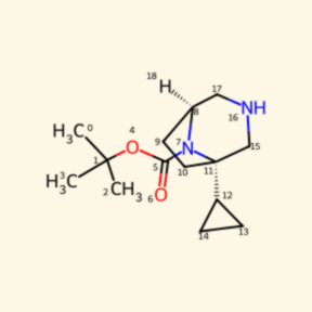 CC(C)(C)OC(=O)N1[C@H]2CC[C@]1(C1CC1)CNC2